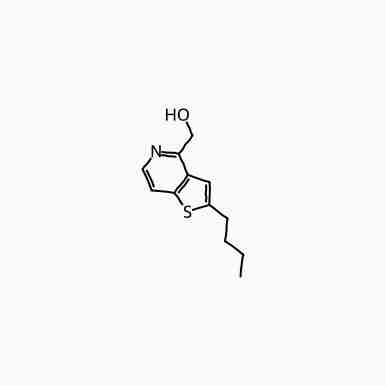 CCCCc1cc2c(CO)nccc2s1